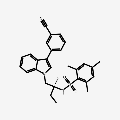 CC[C@@](C)(Cn1cc(-c2cccc(C#N)c2)c2ccccc21)NS(=O)(=O)c1c(C)cc(C)cc1C